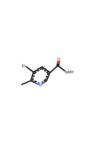 CCc1cc(C(=O)NC)cnc1C